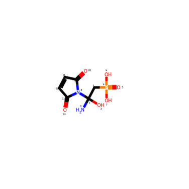 NC(O)(CP(=O)(O)O)N1C(=O)C=CC1=O